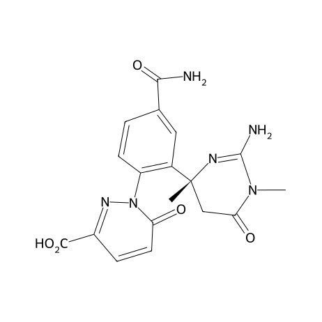 CN1C(=O)C[C@](C)(c2cc(C(N)=O)ccc2-n2nc(C(=O)O)ccc2=O)N=C1N